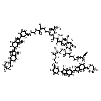 C#CC(=O)NCCCCCC(=O)N(CCN(C)C(=O)CCCOc1cccc(-c2nc3ccc(-c4nc5cc(N6CCN(C)CC6)ccc5[nH]4)cc3[nH]2)c1)CC(=O)N(C)[C@@H](C)C(=O)N(C)[C@@H](C)C(=O)N(C)[C@@H](C)C(=O)N(CCCCN(C)C(=O)CCCOc1cccc(-c2nc3ccc(-c4nc5cc(N6CCN(C)CC6)ccc5[nH]4)cc3[nH]2)c1)CC(N)=O